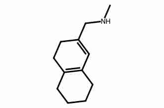 CNCC1=CC2=C(CCCC2)CC1